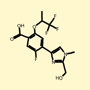 CC(Oc1cc(-c2cn(C)c(CO)n2)c(F)cc1C(=O)O)C(F)(F)F